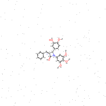 COc1ccc(C2/C(=C/c3ccccc3)C(=O)N2c2cc(OC)c(OC)c(OC)c2)cc1O